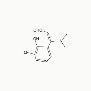 CN(C)/C(=C/C=O)c1cccc(Cl)c1O